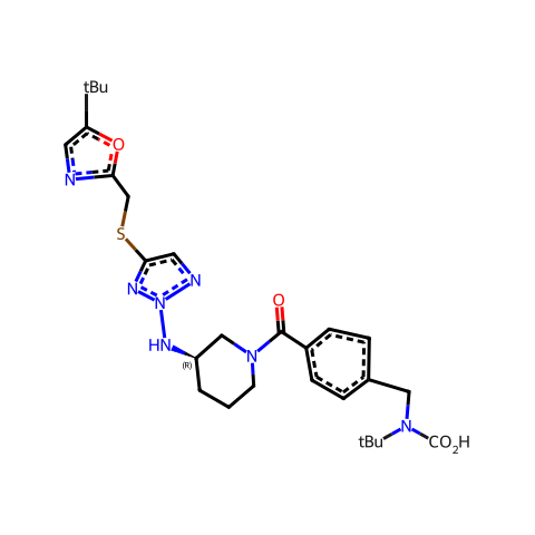 CC(C)(C)c1cnc(CSc2cnn(N[C@@H]3CCCN(C(=O)c4ccc(CN(C(=O)O)C(C)(C)C)cc4)C3)n2)o1